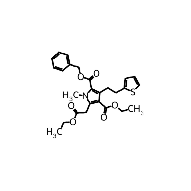 CCOC(=O)Cc1c(C(=O)OCC)c(CCc2cccs2)c(C(=O)OCc2ccccc2)n1C